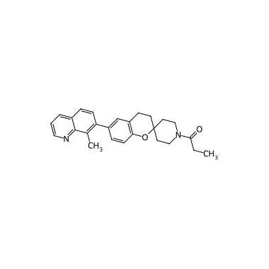 CCC(=O)N1CCC2(CCc3cc(-c4ccc5cccnc5c4C)ccc3O2)CC1